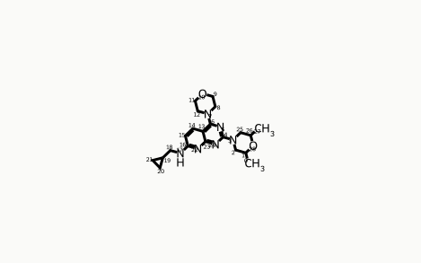 CC1CN(c2nc(N3CCOCC3)c3ccc(NCC4CC4)nc3n2)CC(C)O1